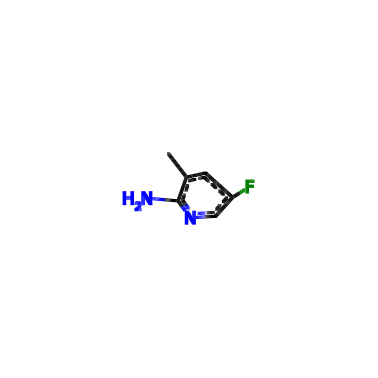 Cc1cc(F)cnc1N